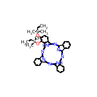 C=C[Si](C)(C)Oc1ccc2c3nc4nc(nc5[nH]c(nc6nc(nc([nH]3)c2c1O[Si](C)(C)C=C)-c1ccccc1-6)c1ccccc51)-c1ccccc1-4